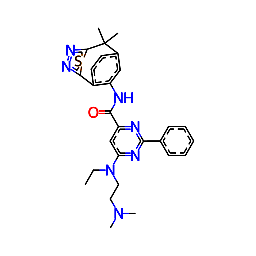 CCN(CCN(C)C)c1cc(C(=O)Nc2cc3ccc2-c2nnc(s2)C3(C)C)nc(-c2ccccc2)n1